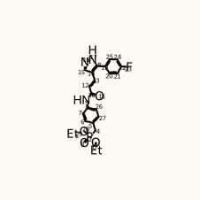 CCOP(=O)(Cc1ccc(NC(=O)C=Cc2cn[nH]c2-c2ccc(F)cc2)cc1)OCC